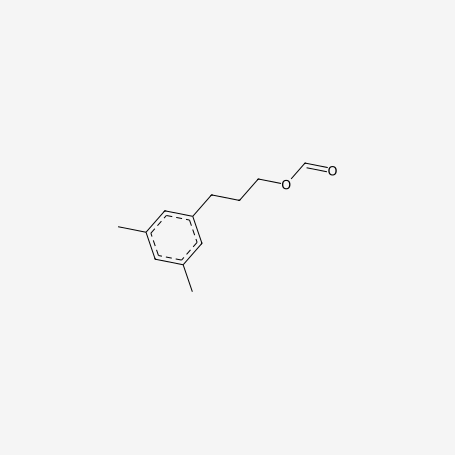 Cc1cc(C)cc(CCCOC=O)c1